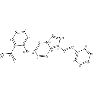 CNC(=O)c1ccccc1Sc1ccc2c(/C=C/c3ccccn3)ncn2c1